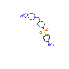 Nc1ccc(S(=O)(=O)N2CCC(CN3CCC4(CC3)CNC4)CC2)cc1